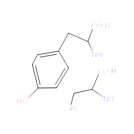 CC(C)CC(N)C(=O)O.NC(Cc1ccc(O)cc1)C(=O)O